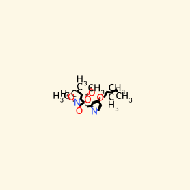 CCC(C)(C)CCOc1ccnc(C[C@]2(OCOC)C(=O)N(COC)C2CC(C)C)c1